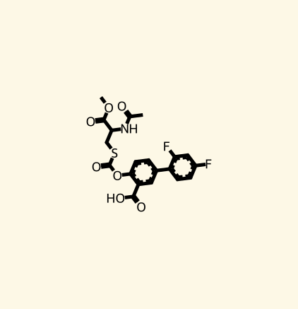 COC(=O)C(CSC(=O)Oc1ccc(-c2ccc(F)cc2F)cc1C(=O)O)NC(C)=O